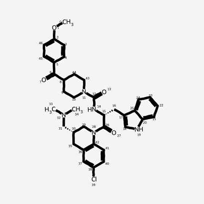 COc1ccc(C(=O)C2CCN(C(=O)N[C@H](Cc3c[nH]c4ccccc34)C(=O)N3C[C@@H](CN(C)C)Cc4cc(Cl)ccc43)CC2)cc1